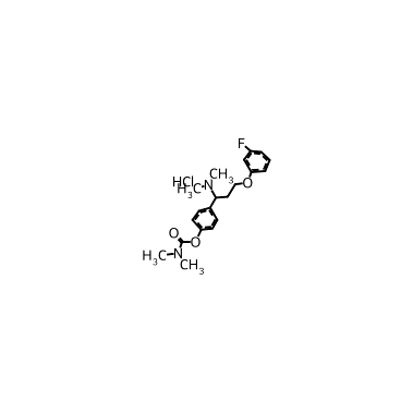 CN(C)C(=O)Oc1ccc(C(CCOc2cccc(F)c2)N(C)C)cc1.Cl